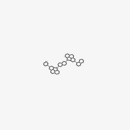 c1cncc(-c2cc3ccc4cccc5c4c3c(c2)n5-c2ccc3cc(-n4c5cccc6ccc7cc(-c8cccc9ccccc89)cc4c7c65)ccc3c2)c1